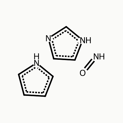 N=O.c1c[nH]cn1.c1cc[nH]c1